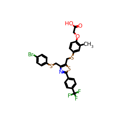 Cc1cc(SCc2sc(-c3ccc(C(F)(F)F)cc3)nc2CSc2ccc(Br)cc2)ccc1OCC(=O)O